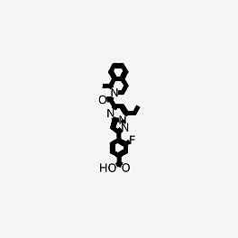 CCc1cc(C(=O)N2CCc3ccccc3C2C)nc2cc(-c3ccc(C(=O)O)cc3F)nn12